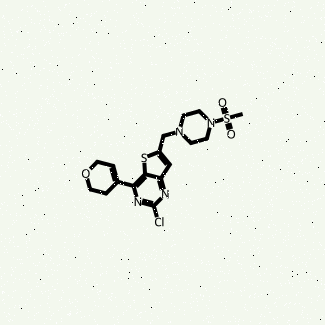 CS(=O)(=O)N1CCN(Cc2cc3nc(Cl)nc(C4=CCOCC4)c3s2)CC1